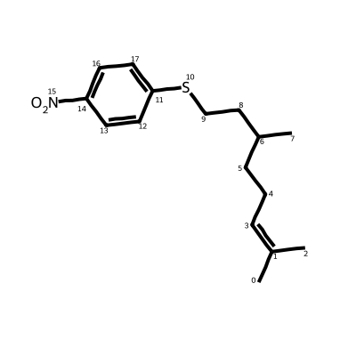 CC(C)=CCCC(C)CCSc1ccc([N+](=O)[O-])cc1